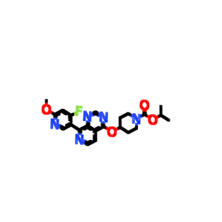 COc1cc(F)c(-c2nccc3c(OC4CCN(C(=O)OC(C)C)CC4)ncnc23)cn1